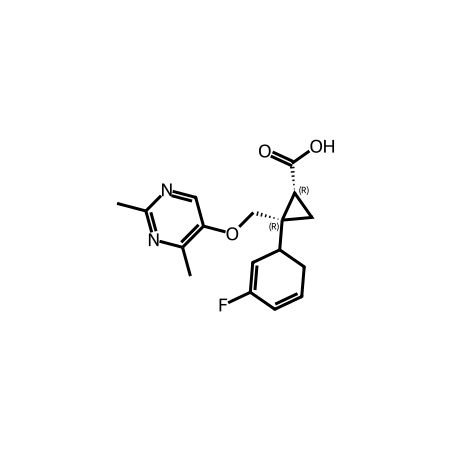 Cc1ncc(OC[C@@]2(C3C=C(F)C=CC3)C[C@H]2C(=O)O)c(C)n1